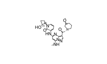 CNc1cc(Nc2cccn([C@@H]3CC[C@@H]3O)c2=O)nc2c(C(=O)C[C@H]3CCC[C@H](OC)C3)cnn12